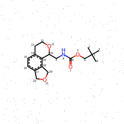 CC(C)(C)COC(=O)NCC1OCCc2ccc3c(c21)COC3